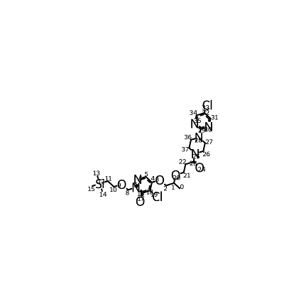 CC(COc1cnn(COCC[Si](C)(C)C)c(=O)c1Cl)OCCC(=O)N1CCN(c2ncc(Cl)cn2)CC1